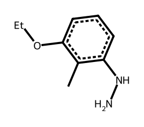 CCOc1cccc(NN)c1C